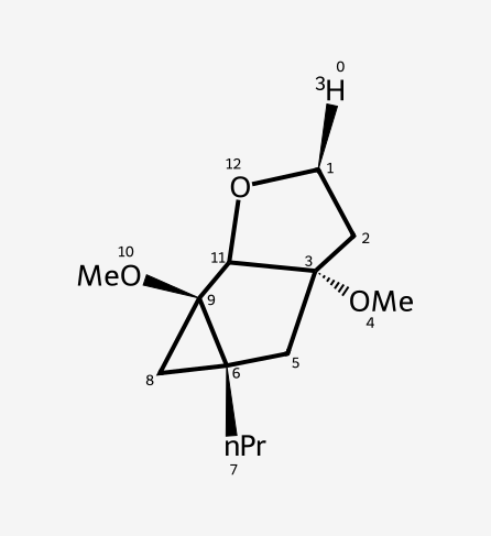 [3H][C@H]1C[C@@]2(OC)C[C@]3(CCC)C[C@]3(OC)C2O1